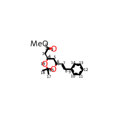 COC(=O)C[C@H]1C[C@@H](C=Cc2ccccc2)OC(C)(C)O1